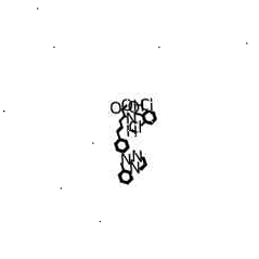 O=C(NC(C/C=C/c1ccc(N(Cc2ccccc2)c2ncccn2)cc1)C(=O)O)c1c(Cl)cccc1Cl